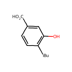 CCC(C)c1ccc(C(=O)O)cc1O